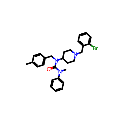 Cc1ccc(CN(C(=O)N(C)c2ccccc2)C2CCN(Cc3ccccc3Br)CC2)cc1